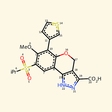 COc1c(S(=O)(=O)C(C)C)cc2c(c1-c1ccsc1)OCc1c(C(=O)O)n[nH]c1-2